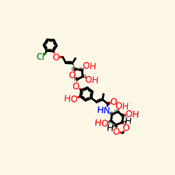 CC(=Cc1ccc(O[C@@H]2O[C@H](C(C)=CCOc3ccccc3Cl)[C@@H](O)[C@@H]2O)c(O)c1)C(=O)N[C@@H]1[C@H](O)[C@@H](O)[C@H]2OCO[C@H]2[C@@H]1O